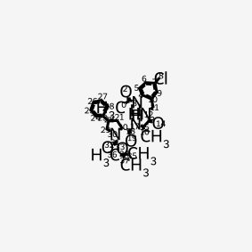 CC(=O)Nc1ccc(Cl)cc1CNC(=O)C(C)NC(=O)[C@H]1CC(c2ccccc2)CN1C(=O)OC(C)(C)C